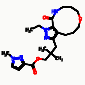 CCn1nc(CC(C)(C)COC(=O)c2ccn(C)n2)c2c1C(=O)NCCCOCCC2